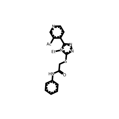 CCn1c(SCC(=O)Nc2ccccc2)nnc1-c1ccncc1C(C)=O